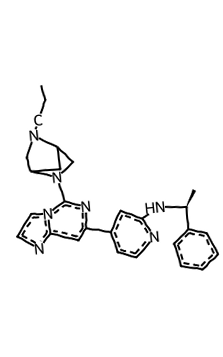 CCCN1CC2CC1CN2c1nc(-c2ccnc(N[C@@H](C)c3ccccc3)c2)cc2nccn12